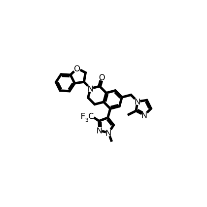 Cc1nccn1Cc1cc2c(c(-c3cn(C)nc3C(F)(F)F)c1)CCN(C1COc3ccccc31)C2=O